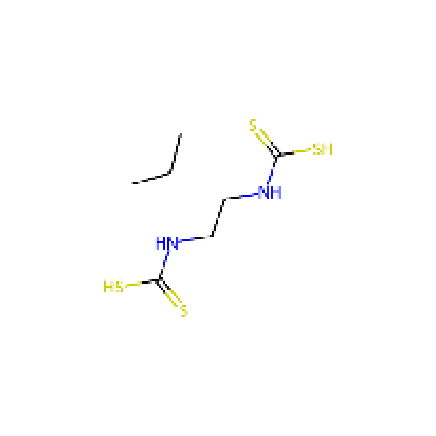 CCC.S=C(S)NCCNC(=S)S